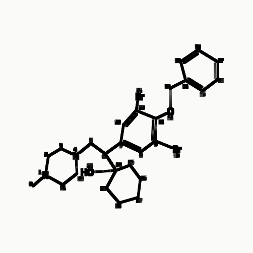 CN1CCN(CC(c2cc(Br)c(OCc3ccccc3)c(Br)c2)C2(O)CCCCC2)CC1